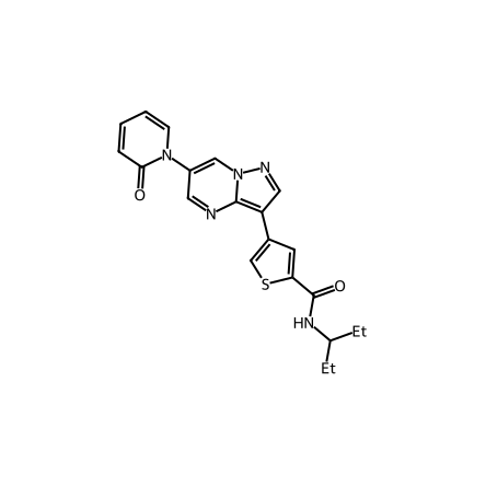 CCC(CC)NC(=O)c1cc(-c2cnn3cc(-n4ccccc4=O)cnc23)cs1